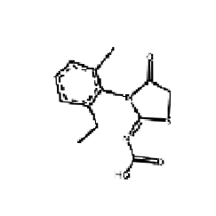 CCc1cccc(C)c1N1C(=O)CSC1=NC(=O)O